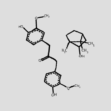 CC1(C)C2CCC1(C)C(O)C2.COc1cc(CC(=O)Cc2ccc(O)c(OC)c2)ccc1O